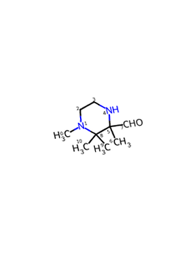 CN1CCNC(C)(C=O)C1(C)C